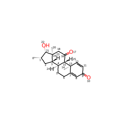 C[C@H]1C[C@H]2[C@@H]3CCC4=CC(=O)C=C[C@]4(C)[C@H]3C(=O)C[C@]2(C)[C@H]1O